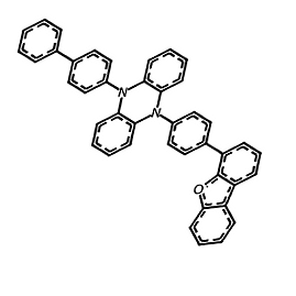 c1ccc(-c2ccc(N3c4ccccc4N(c4ccc(-c5cccc6c5oc5ccccc56)cc4)c4ccccc43)cc2)cc1